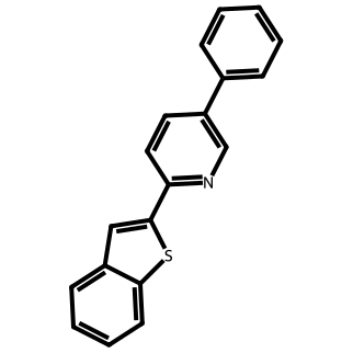 c1ccc(-c2ccc(-c3cc4ccccc4s3)nc2)cc1